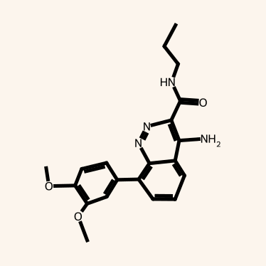 CCCNC(=O)c1nnc2c(-c3ccc(OC)c(OC)c3)cccc2c1N